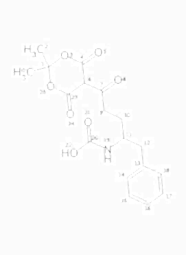 CC1(C)OC(=O)C(C(=O)CCC(Cc2ccccc2)NC(=O)O)C(=O)O1